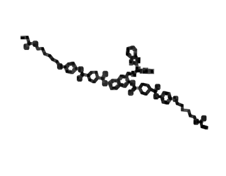 C=CC(=O)OCCCCCCOc1ccc(OC(=O)C2CCC(C(=O)Oc3ccc4cc(OC(=O)C5CCC(C(=O)Oc6ccc(OCCCCCCOC(=O)C=C)cc6)CC5)c(/C=N/N(CCCCCC)c5nc6ccccc6s5)cc4c3)CC2)cc1